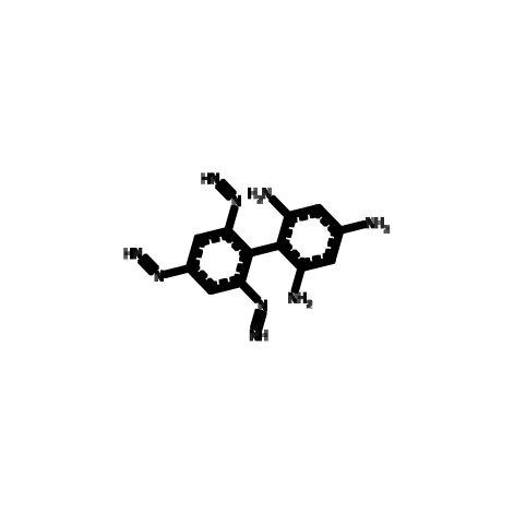 N=Nc1cc(N=N)c(-c2c(N)cc(N)cc2N)c(N=N)c1